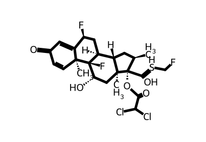 C[C@@H]1C[C@H]2[C@@H]3C[C@H](F)C4=CC(=O)C=C[C@]4(C)[C@@]3(F)[C@@H](O)C[C@]2(C)[C@]1(OC(=O)C(Cl)Cl)C(O)=[SH]CF